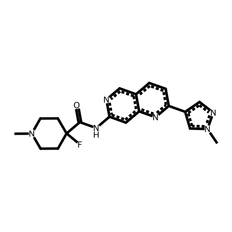 CN1CCC(F)(C(=O)Nc2cc3nc(-c4cnn(C)c4)ccc3cn2)CC1